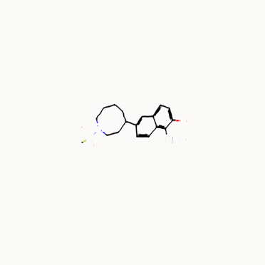 CS(=O)(=O)N1CCCCC(c2ccc3c(C=O)c(O)ccc3c2)CC1